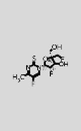 Cc1nc(=S)n([C@@H]2O[C@@](CO)(CF)C(O)[C@@H]2F)cc1F